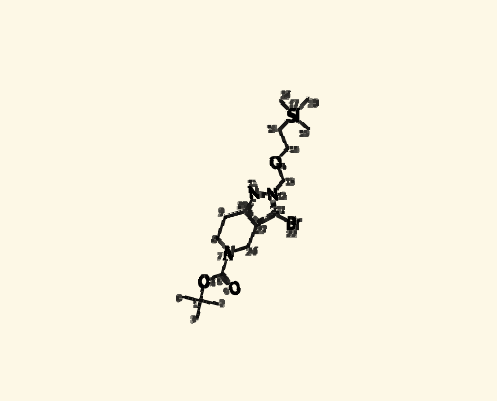 CC(C)(C)OC(=O)N1CCc2nn(COCC[Si](C)(C)C)c(Br)c2C1